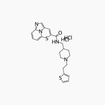 Cl.Cl.O=C(NCC1CCN(CCc2cccs2)CC1)C1=Cc2cnc3cccc(n23)S1